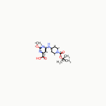 COc1nc(NC2CCN(C(=O)OC(C)(C)C)CC2)cc(C(=O)O)n1